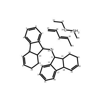 C1=CC2c3ccccc3[CH]([Zr][CH]3c4ccccc4C4C=CCCC43)C2CC1.C=CC=CC.CCO[SiH2]C